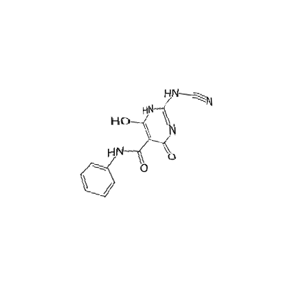 N#CNc1nc(=O)c(C(=O)Nc2ccccc2)c(O)[nH]1